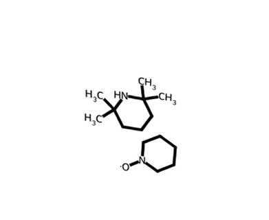 CC1(C)CCCC(C)(C)N1.[O]N1CCCCC1